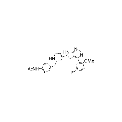 COc1ccc(F)cc1-c1ncnc2[nH]c(C3=CCNC(Cc4ccc(NC(C)=O)cc4)C3)cc12